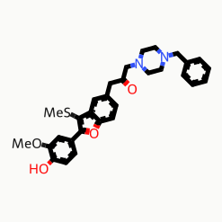 COc1cc(-c2oc3ccc(CC(=O)CN4CCN(Cc5ccccc5)CC4)cc3c2SC)ccc1O